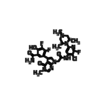 C[C@H]1CN(C)C[C@H](C)N1c1cc(NC(=O)Cn2cc(-c3cc(C(N)=O)c(O)c(F)c3F)c3c(=O)n(C)cnc32)c(Cl)c(F)n1